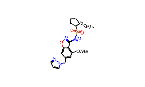 COc1cc(Cn2cccn2)cc2onc(NS(=O)(=O)C3CCC[C@H]3OC)c12